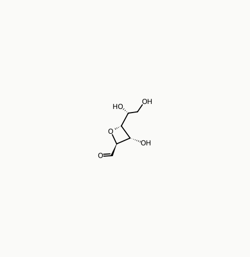 O=C[C@H]1O[C@H]([C@H](O)CO)[C@@H]1O